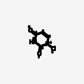 O=c1ccn(Cl)c(=O)[nH]1